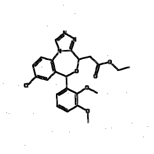 CCOC(=O)CC1OC(c2cccc(OC)c2OC)c2cc(Cl)ccc2-n2cnnc21